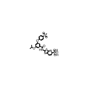 CC(C)Oc1cc(Oc2ccc(S(C)(=O)=O)cc2)cc(C(=O)Nc2nc3ccc(P(=O)(O)O)nc3s2)c1